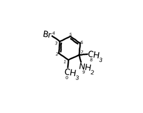 CC1C=C(Br)C=CC1(C)N